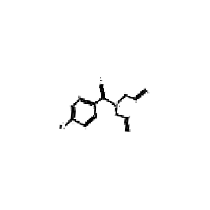 C=CCN(CC=C)C(=O)c1ccc(CC)cc1